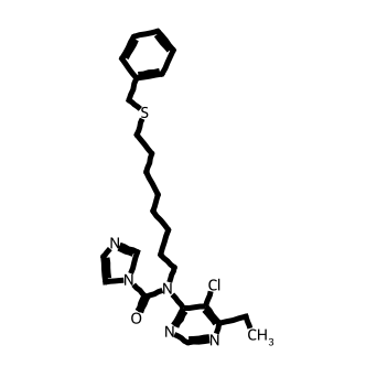 CCc1ncnc(N(CCCCCCCCSCc2ccccc2)C(=O)n2ccnc2)c1Cl